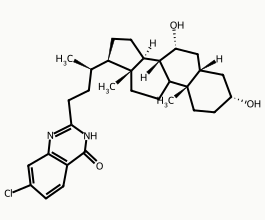 C[C@H](CCc1nc2cc(Cl)ccc2c(=O)[nH]1)[C@H]1CC[C@H]2[C@H]3C(CC[C@]12C)[C@@]1(C)CC[C@@H](O)C[C@H]1C[C@H]3O